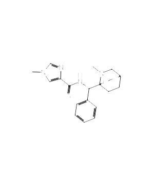 CN1CC2CCC1([C@H](NC(=O)c1cn(C)cn1)c1ccccc1)CC2